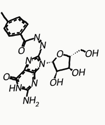 Cc1ccc(C(=O)/N=N\c2nc3c(=O)[nH]c(N)nc3n2[C@@H]2O[C@H](CO)[C@@H](O)[C@H]2O)cc1